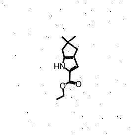 CCOC(=O)c1cc2c([nH]1)CC(C)(C)C2